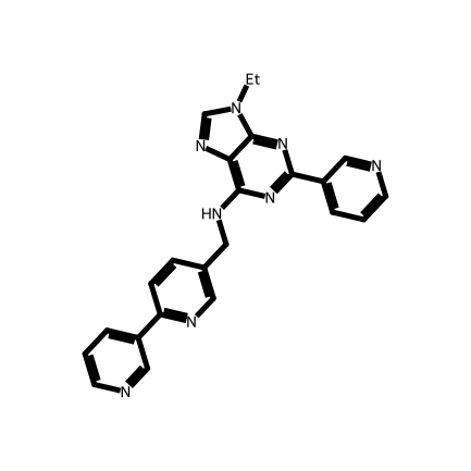 CCn1cnc2c(NCc3ccc(-c4cccnc4)nc3)nc(-c3cccnc3)nc21